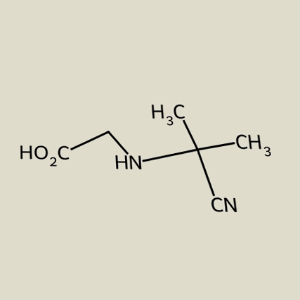 CC(C)(C#N)NCC(=O)O